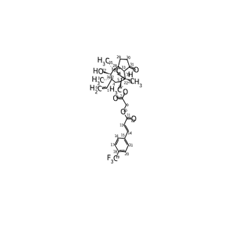 C=C[C@]1(C)C[C@@H](OC(=O)COC(=O)/C=C/c2ccc(C(F)(F)F)cc2)[C@]2(C)[C@H](C)CC[C@]3(CCC(=O)[C@H]32)[C@@H](C)[C@@H]1O